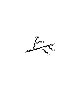 CCC=CCN(CCCCN(CC=CCC)CCCN(CCO)CCO)CCCN(CCO)CCO